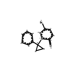 O=c1ccc(Br)nn1C1(c2ccccc2)CC1